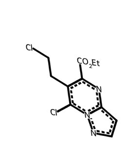 CCOC(=O)c1nc2ccnn2c(Cl)c1CCCl